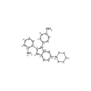 Nc1ccc(-n2c(-c3cccnc3N)nc3ccc(N4CCOCC4)cc32)cc1